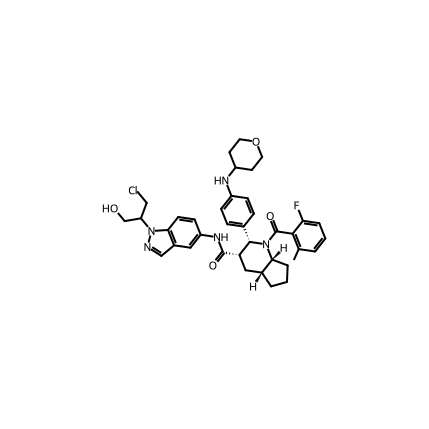 Cc1cccc(F)c1C(=O)N1[C@@H]2CCC[C@@H]2C[C@H](C(=O)Nc2ccc3c(cnn3C(CO)CCl)c2)[C@@H]1c1ccc(NC2CCOCC2)cc1